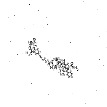 Cn1c(=O)n(C2CCC(=O)NC2=O)c2ccc(C#CCCCCC(=O)N3CC[C@H]4CC[C@@H](C(=O)N[C@@H](CCC(N)=O)C(=O)NC(c5ccccc5)c5ccccc5)N4C(=O)[C@@H](N)C3)cc21